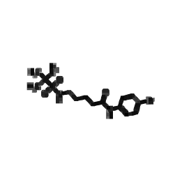 CC(C)(C)S(=O)(=O)NCCCCC(=O)Nc1ccc(Br)cc1